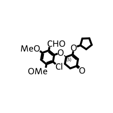 COc1cc(OC)c(C=O)c(O[C@H]2CCC(=O)C=C2OC2CCCC2)c1Cl